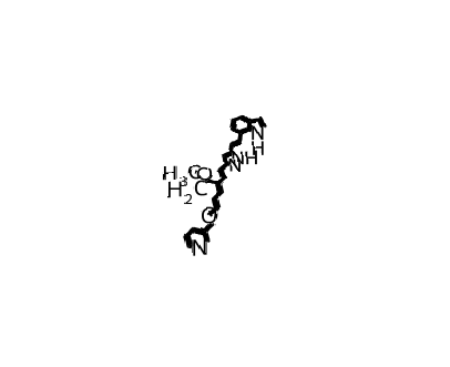 C=C(OC)C(=C\C=C\OCc1cccnc1)/C=C/c1cc(/C=C/c2cccc3cc[nH]c23)[nH]n1